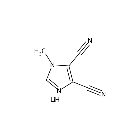 Cn1cnc(C#N)c1C#N.[LiH]